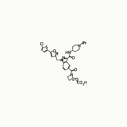 CC(C)N1CCC(NC(=O)c2nn(Cc3cc(-c4ccc(Cl)s4)on3)c3ccc(C(=O)N4CC[C@@H]4OC(=O)O)cc23)CC1